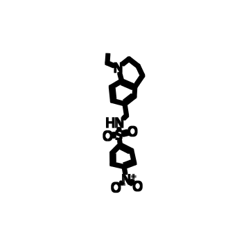 CCN1CCCc2cc(CNS(=O)(=O)c3ccc([N+](=O)[O-])cc3)ccc21